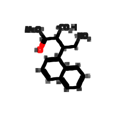 COC(=O)C(C(=O)O)C(C[N+](=O)[O-])c1cccc2ccccc12